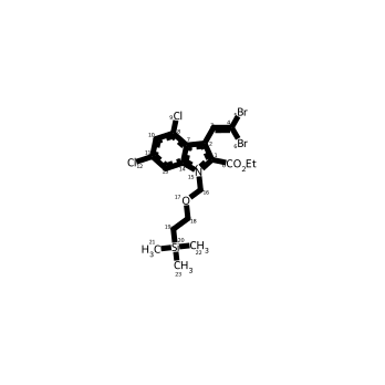 CCOC(=O)c1c(C=C(Br)Br)c2c(Cl)cc(Cl)cc2n1COCC[Si](C)(C)C